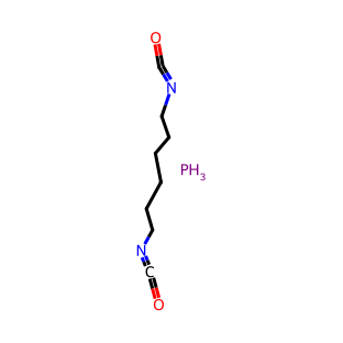 O=C=NCCCCCCN=C=O.P